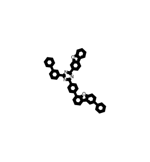 c1ccc(-c2cccc(-c3nc(-c4ccc(-c5cccc6c5oc5ccc(-c7ccccc7)cc56)cc4)nc(-c4ccc5c(c4)oc4ccccc45)n3)c2)cc1